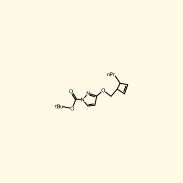 CCCC1C=CC1COc1ccn(C(=O)OC(C)(C)C)n1